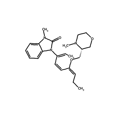 C\C=C(/C=C\C(=C/CC)OC[C@H]1COCCN1C)n1c(=O)n(C)c2ccccc21